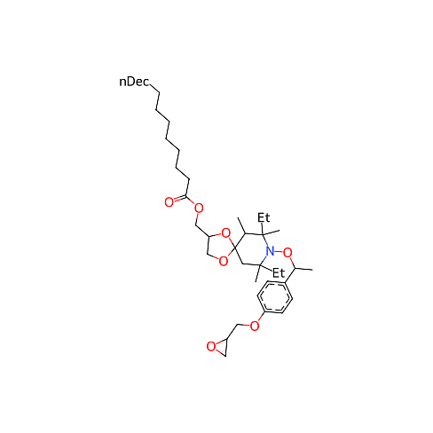 CCCCCCCCCCCCCCCCCC(=O)OCC1COC2(CC(C)(CC)N(OC(C)c3ccc(OCC4CO4)cc3)C(C)(CC)C2C)O1